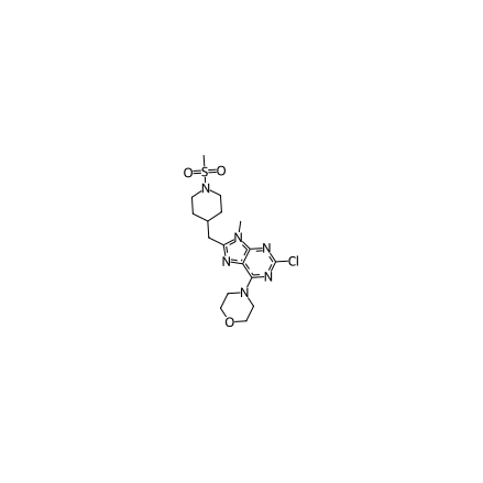 Cn1c(CC2CCN(S(C)(=O)=O)CC2)nc2c(N3CCOCC3)nc(Cl)nc21